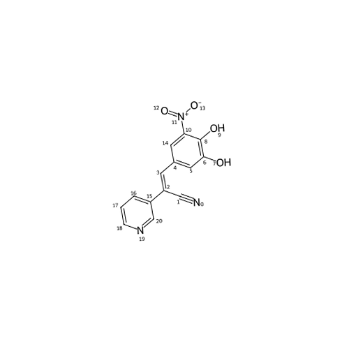 N#C/C(=C\c1cc(O)c(O)c([N+](=O)[O-])c1)c1cccnc1